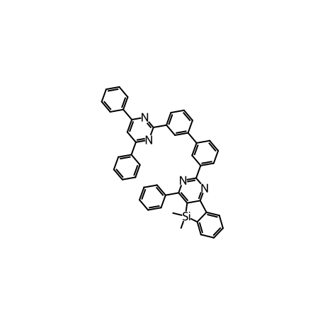 C[Si]1(C)c2ccccc2-c2nc(-c3cccc(-c4cccc(-c5nc(-c6ccccc6)cc(-c6ccccc6)n5)c4)c3)nc(-c3ccccc3)c21